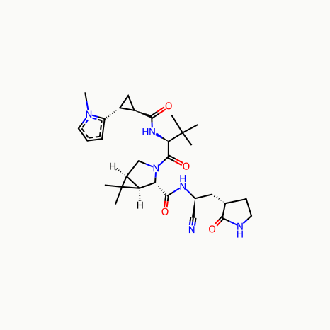 Cn1cccc1[C@@H]1C[C@H]1C(=O)N[C@H](C(=O)N1C[C@H]2[C@@H]([C@H]1C(=O)N[C@H](C#N)C[C@@H]1CCNC1=O)C2(C)C)C(C)(C)C